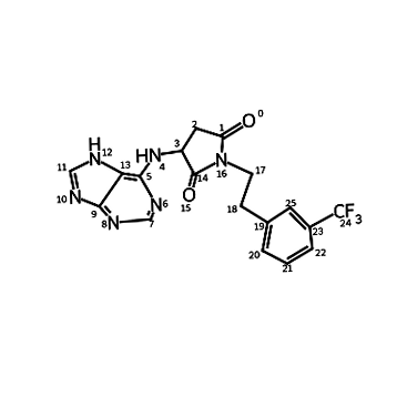 O=C1CC(Nc2ncnc3nc[nH]c23)C(=O)N1CCc1cccc(C(F)(F)F)c1